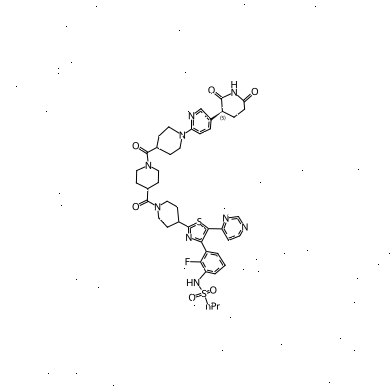 CCCS(=O)(=O)Nc1cccc(-c2nc(C3CCN(C(=O)C4CCN(C(=O)C5CCN(c6ccc([C@@H]7CCC(=O)NC7=O)cn6)CC5)CC4)CC3)sc2-c2ccncn2)c1F